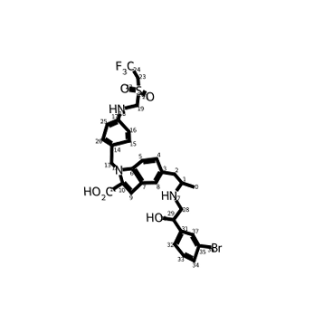 CC(Cc1ccc2c(c1)cc(C(=O)O)n2Cc1ccc(NCS(=O)(=O)CC(F)(F)F)cc1)NCC(O)c1cccc(Br)c1